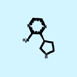 Nc1nccnc1[C@H]1CCNC1